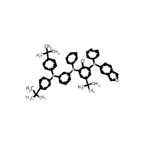 CC(C)(C)c1ccc(N(c2ccc(C(C)(C)C)cc2)c2cccc(N(c3ccccc3)c3cc(C(C)(C)C)cc(N(c4ccccc4)c4ccc5cocc5c4)c3Cl)c2)cc1